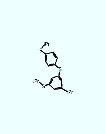 CC(C)Sc1ccc(Sc2cc(SC(C)C)cc(C(C)C)c2)cc1